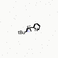 CC(C)(C)/C=C/[Si](C)(C)c1ccccn1